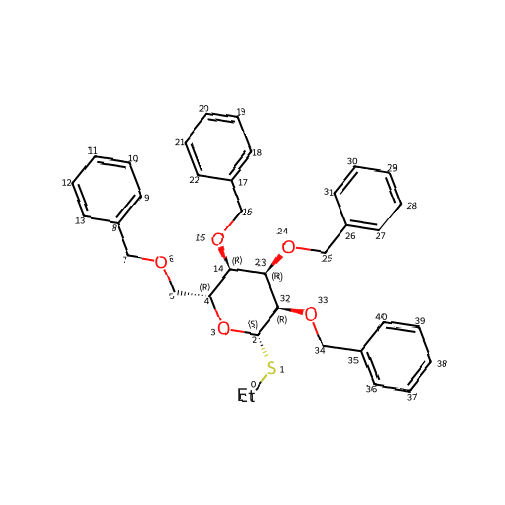 CCS[C@@H]1O[C@H](COCc2ccccc2)[C@@H](OCc2ccccc2)[C@@H](OCc2ccccc2)[C@H]1OCc1ccccc1